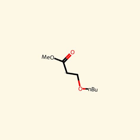 CCCCOC[CH]C(=O)OC